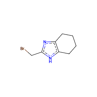 BrCc1nc2c([nH]1)CCCC2